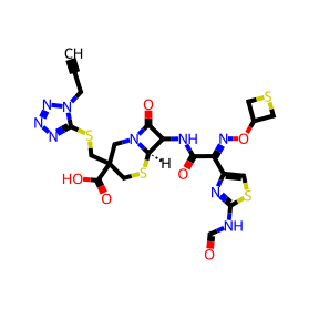 C#CCn1nnnc1SCC1(C(=O)O)CS[C@@H]2C(NC(=O)C(=NOC3CSC3)c3csc(NC=O)n3)C(=O)N2C1